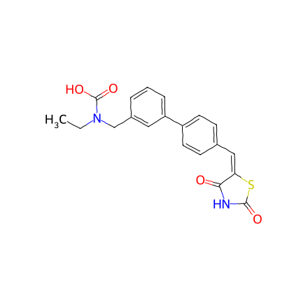 CCN(Cc1cccc(-c2ccc(C=C3SC(=O)NC3=O)cc2)c1)C(=O)O